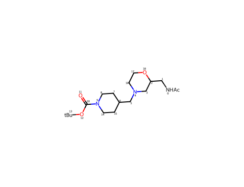 CC(=O)NCC1CN(CC2CCN(C(=O)OC(C)(C)C)CC2)CCO1